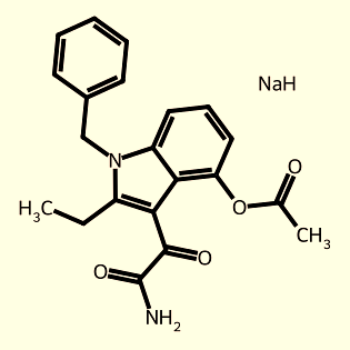 CCc1c(C(=O)C(N)=O)c2c(OC(C)=O)cccc2n1Cc1ccccc1.[NaH]